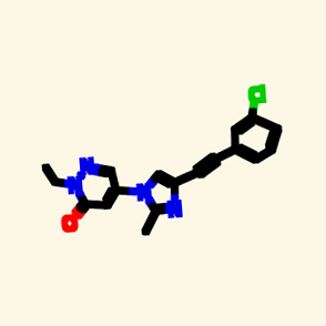 CCn1ncc(-n2cc(C#Cc3cccc(Cl)c3)nc2C)cc1=O